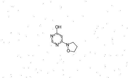 Oc1cc(N2CCCO2)ncn1